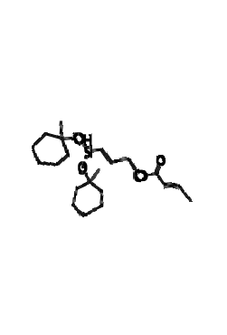 CC=CC(=O)OCCC[SiH](OC1(C)CCCCC1)OC1(C)CCCCC1